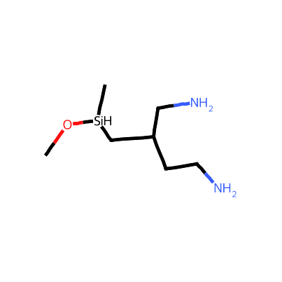 CO[SiH](C)CC(CN)CCN